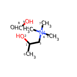 CC(O)C[N+](C)(C)C.O=[C-]O